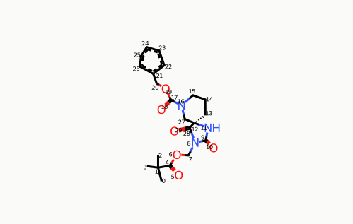 CC(C)(C)C(=O)OCN1C(=O)N[C@@]2(CCCN(C(=O)OCc3ccccc3)C2)C1=O